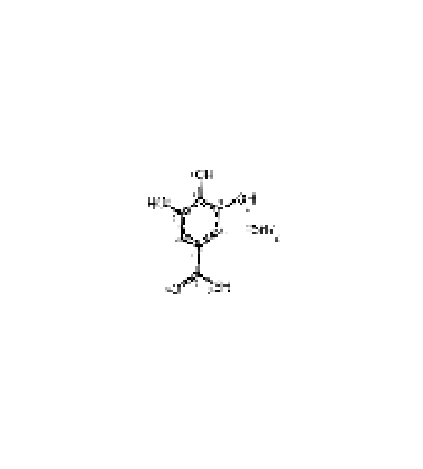 O=C(S)c1cc(O)c(O)c(O)c1.[SrH2]